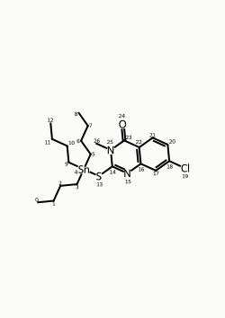 CCC[CH2][Sn]([CH2]CCC)([CH2]CCC)[S]c1nc2cc(Cl)ccc2c(=O)n1C